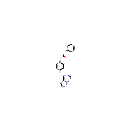 O=C(Nc1ccc(Oc2ncnc3[nH]ccc23)cc1)Oc1ccccc1